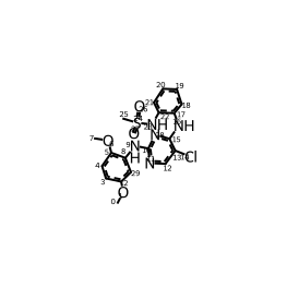 COc1ccc(OC)c(Nc2ncc(Cl)c(Nc3ccccc3NS(C)(=O)=O)n2)c1